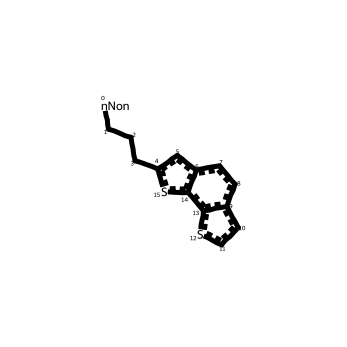 CCCCCCCCCCCCc1cc2ccc3ccsc3c2s1